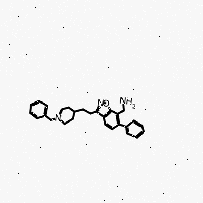 NCc1c(-c2ccccc2)ccc2c(CCC3CCN(Cc4ccccc4)CC3)noc12